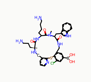 CN1C(=O)C(CCCCN)NC(=O)[C@H](CCCN)NCc2cccnc2Sc2c(Cl)cc(B(O)O)cc2CNC(=O)C1Cc1c[nH]c2ccccc12